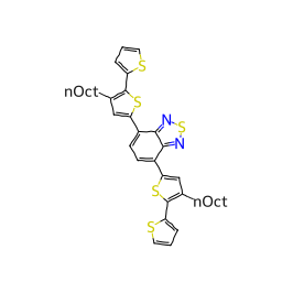 CCCCCCCCc1cc(-c2ccc(-c3cc(CCCCCCCC)c(-c4cccs4)s3)c3nsnc23)sc1-c1cccs1